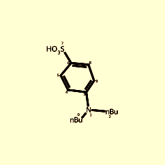 CCCCN(CCCC)c1ccc(S(=O)(=O)O)cc1